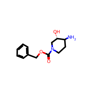 NC1CCN(C(=O)OCc2ccccc2)C[C@@H]1O